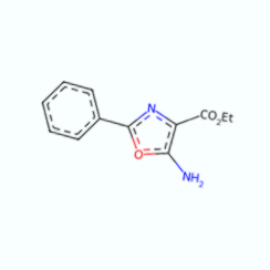 CCOC(=O)c1nc(-c2ccccc2)oc1N